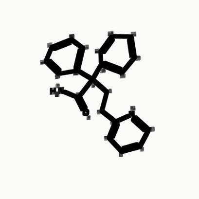 NC(=O)C(CCc1ccccn1)(c1ccccc1)c1ccccc1